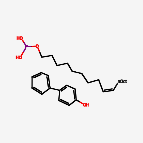 CCCCCCCC/C=C\CCCCCCCCOP(O)O.Oc1ccc(-c2ccccc2)cc1